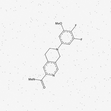 CNC(=O)c1cc2c(cn1)CN(c1cc(F)c(F)c(OC)c1)CC2